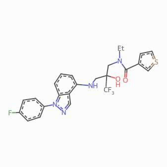 CCN(CC(O)(CNc1cccc2c1cnn2-c1ccc(F)cc1)C(F)(F)F)C(=O)c1ccsc1